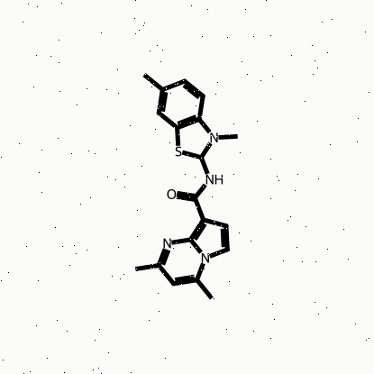 Cc1ccc2c(c1)SC(NC(=O)c1ccn3c(C)cc(C)nc13)N2C